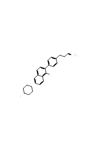 C=CCCc1ccc(-c2ccc3cc([C@H]4CC[C@H](CC)CC4)ccc3c2F)cc1